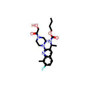 CCCCOC(=O)NC(C)c1cc2ccc(F)c(C)c2nc1N1CCN(C(=O)CO)CC1